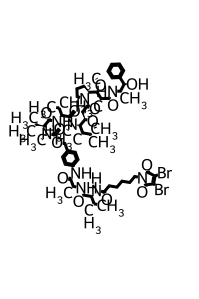 CC[C@@H](C)[C@@H]([C@@H](CC(=O)N1CCC[C@H]1[C@H](OC)[C@@H](C)C(=O)N[C@@H](C)[C@H](O)c1ccccc1)OC)N(C)C(=O)[C@@H](NC(=O)[C@H](C(C)C)N(C)C(=O)OCc1ccc(NC(=O)[C@@H](C)NC(=O)[C@H](NC(=O)CCCCCN2C(=O)C(Br)=C(Br)C2=O)C(C)C)cc1)C(C)C